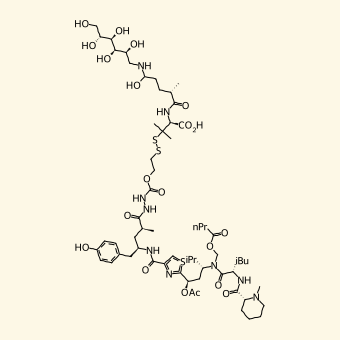 CCCC(=O)OCN(C(=O)[C@@H](NC(=O)[C@H]1CCCCN1C)C(C)CC)[C@H](C[C@@H](OC(C)=O)c1nc(C(=O)N[C@@H](Cc2ccc(O)cc2)C[C@H](C)C(=O)NNC(=O)OCCSSC(C)(C)[C@@H](NC(=O)[C@@H](C)CCC(O)NC[C@H](O)[C@@H](O)[C@H](O)[C@H](O)CO)C(=O)O)cs1)C(C)C